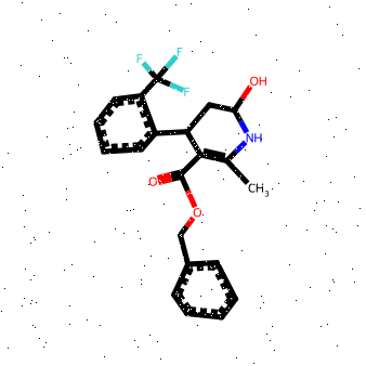 CC1=C(C(=O)OCc2ccccc2)C(c2ccccc2C(F)(F)F)CC(O)N1